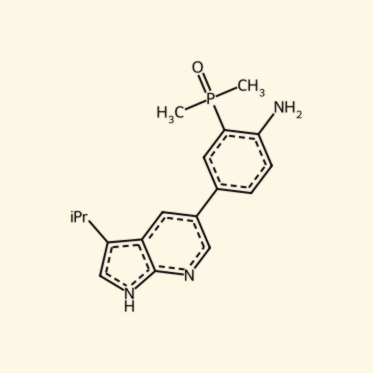 CC(C)c1c[nH]c2ncc(-c3ccc(N)c(P(C)(C)=O)c3)cc12